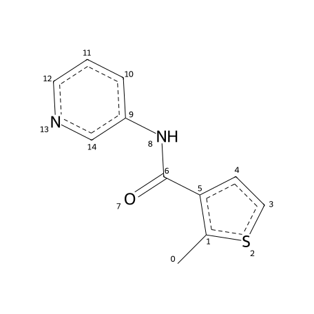 Cc1sccc1C(=O)Nc1cccnc1